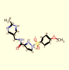 COc1ccc(S(=O)(=O)n2ccc(C(=O)NCc3cnc(C)nc3)n2)cc1